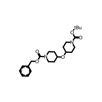 CC(C)(C)OC(=O)N1CCC(OC2CCN(C(=O)OCc3ccccc3)CC2)CC1